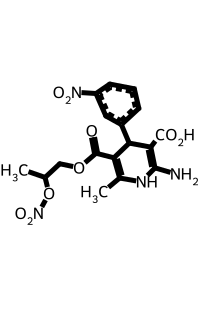 CC1=C(C(=O)OCC(C)O[N+](=O)[O-])C(c2cccc([N+](=O)[O-])c2)C(C(=O)O)=C(N)N1